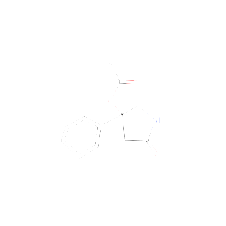 CCCC(=O)OC1(c2ccccc2)CNC(=O)C1